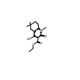 CCOC(=O)c1c(O)c2c(n(C)c1=O)CCC(C)(C)C2